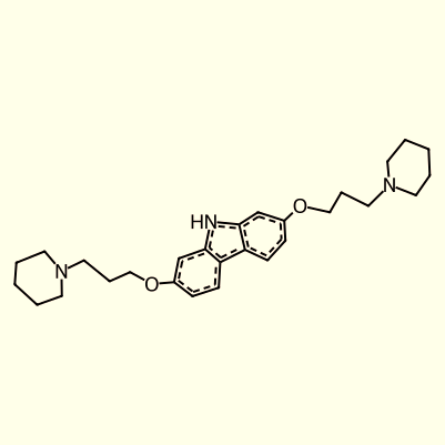 c1cc2c(cc1OCCCN1CCCCC1)[nH]c1cc(OCCCN3CCCCC3)ccc12